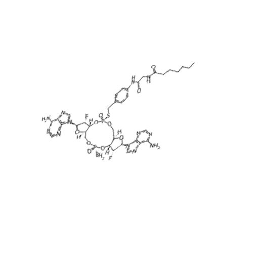 B[P@]1(=O)OC[C@H]2O[C@@H](n3cnc4c(N)ncnc43)[C@H](F)[C@@H]2O[P@@](=O)(SCc2ccc(NC(=O)CNC(=O)CCCCCC)cc2)OC[C@H]2O[C@@H](n3cnc4c(N)ncnc43)[C@H](F)[C@@H]2O1